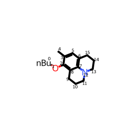 CCCCOc1c(C)cc2c3c1CCCN3CCC2